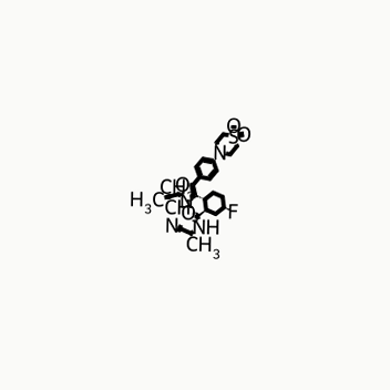 C[C@@H](C#N)NC(=O)[C@@H]1C[C@@H](F)CC[C@H]1c1nc(C(C)(C)C)oc1-c1ccc(N2CCS(=O)(=O)CC2)cc1